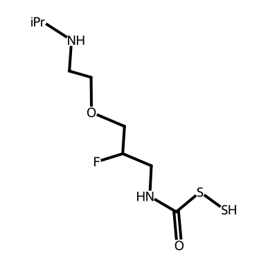 CC(C)NCCOCC(F)CNC(=O)SS